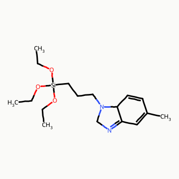 CCO[Si](CCCN1CN=C2C=C(C)C=CC21)(OCC)OCC